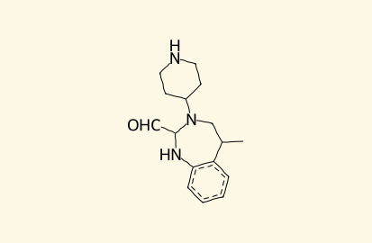 CC1CN(C2CCNCC2)C(C=O)Nc2ccccc21